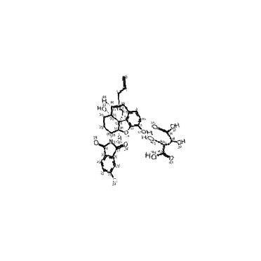 C=CCN1CC[C@]23c4c5ccc(O)c4O[C@H]2[C@H](N2C(=O)c4ccc(Cl)cc4C2=O)CC[C@@]3(O)[C@H]1C5.O=C(O)C(O)C(O)C(=O)O